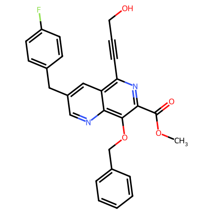 COC(=O)c1nc(C#CCO)c2cc(Cc3ccc(F)cc3)cnc2c1OCc1ccccc1